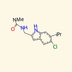 CNC(=O)NCc1cc2cc(Cl)c(C(C)C)cc2[nH]1